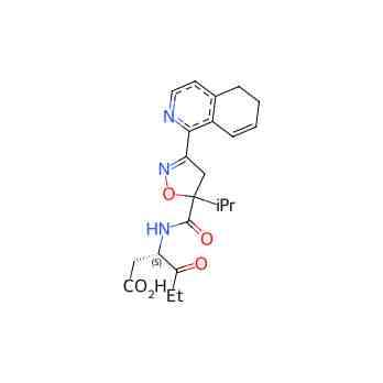 CCC(=O)[C@H](CC(=O)O)NC(=O)C1(C(C)C)CC(c2nccc3c2C=CCC3)=NO1